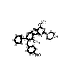 CCOc1nc(N2CCNCC2)nc2c1sc1nc(-c3ccccc3)c(Cc3ccc(N=O)cc3)c(C)c12